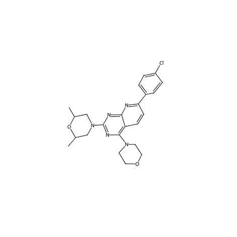 CC1CN(c2nc(N3CCOCC3)c3ccc(-c4ccc(Cl)cc4)nc3n2)CC(C)O1